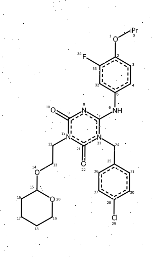 CC(C)Oc1ccc(Nc2nc(=O)n(CCOC3CCCCO3)c(=O)n2Cc2ccc(Cl)cc2)cc1F